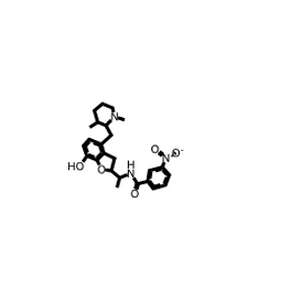 CC1CCCN(C)C1Cc1ccc(O)c2c1CC(C(C)NC(=O)c1cccc([N+](=O)[O-])c1)O2